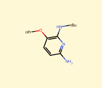 CCCCNc1nc(N)ccc1OCCC